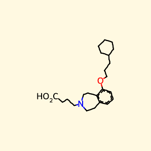 O=C(O)CCCN1CCc2cccc(OCCCC3CCCCC3)c2CC1